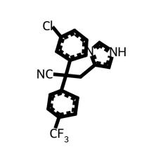 N#CC(Cc1c[nH]cn1)(c1ccc(C(F)(F)F)cc1)c1cccc(Cl)c1